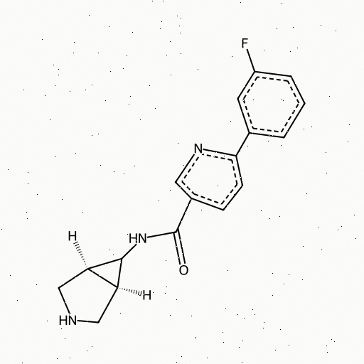 O=C(NC1[C@H]2CNC[C@@H]12)c1ccc(-c2cccc(F)c2)nc1